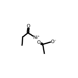 CC(=O)[O-].CC[C](=O)[Ni+]